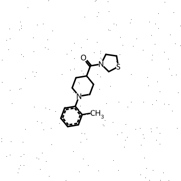 Cc1ccccc1N1CCC(C(=O)N2CCSC2)CC1